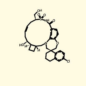 O=C1NS(=O)(=O)[C@H](CO)C/C=C\C[C@H](O)[C@@H]2CC[C@H]2CN2C[C@@]3(CCCc4cc(Cl)ccc43)COc3ccc1cc32